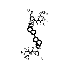 COC[C@H]1C[C@@H](c2nc3ccc4cc(-c5ccc6c(ccc7nc([C@@H]8C[C@H](C)CN8C(=O)[C@@H](NC8OCO8)C(C)C)[nH]c76)c5)ccc4c3[nH]2)N(C(=O)[C@@H](NC(=O)OC)C(C)C)C1